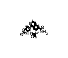 NC(=O)c1cc2ccnc(N3CC4NC(=O)OC4C3)c2cc1OC1COC1